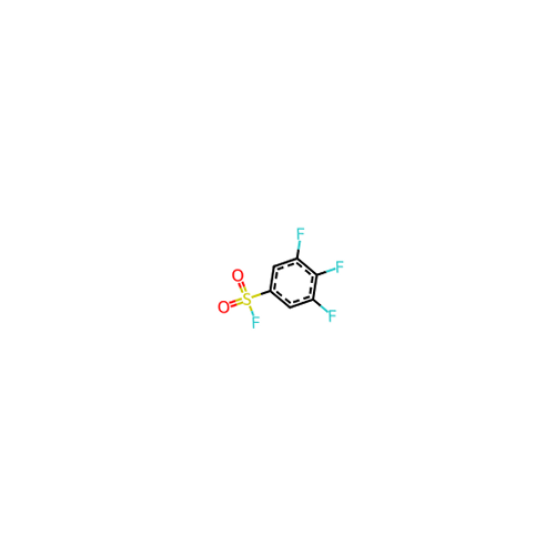 O=S(=O)(F)c1cc(F)c(F)c(F)c1